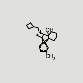 Cc1ccc2c(c1)C13CCCCC1(O)C1N(CC4CCC4)CC21C3